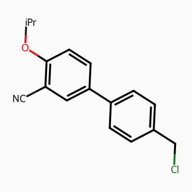 CC(C)Oc1ccc(-c2ccc(CCl)cc2)cc1C#N